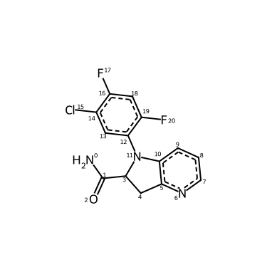 NC(=O)C1Cc2ncccc2N1c1cc(Cl)c(F)cc1F